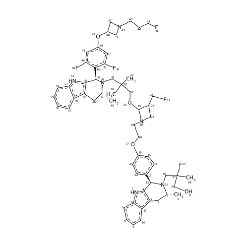 C[C@@H]1Cc2c([nH]c3ccccc23)[C@@H](c2ccc(OCCN3CC(CF)C3OCC(C)(C)CN3[C@H](c4c(F)cc(OC5CN(CCCF)C5)cc4F)c4[nH]c5ccccc5c4C[C@H]3C)cc2)N1CC(C)(F)CO